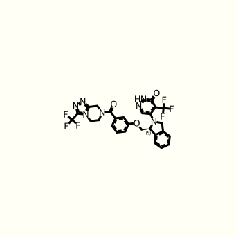 O=C(c1cccc(OC[C@@H]2c3ccccc3CN2c2cn[nH]c(=O)c2C(F)(F)F)c1)N1CCn2c(nnc2C(F)(F)F)C1